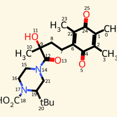 CC1=C(C)C(=O)C(CCC(C)(O)C(=O)N2CCN(C(=O)O)C(C(C)(C)C)C2)=C(C)C1=O